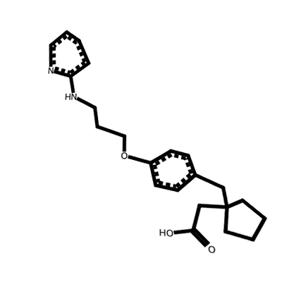 O=C(O)CC1(Cc2ccc(OCCCNc3ccccn3)cc2)CCCC1